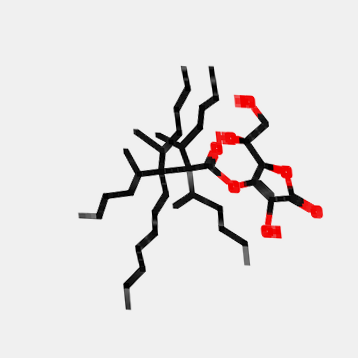 CCCCCCCC(C(C)CCCC)(C(C)CCCC)C(C(=O)OC1=C(O)C(=O)O[C@@H]1[C@@H](O)CO)(C(C)CCCC)C(C)CCCC